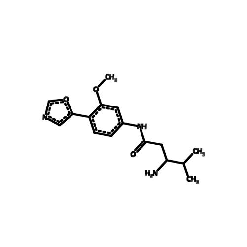 COc1cc(NC(=O)CC(N)C(C)C)ccc1-c1cnco1